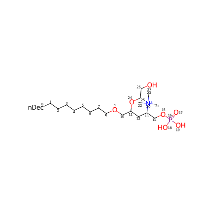 CCCCCCCCCCCCCCCCCCOCC(CC(COP(=O)(O)O)[N+](C)(C)C)OCCO